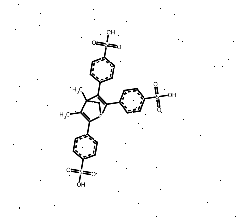 CC1=C(c2ccc(S(=O)(=O)O)cc2)P2CC1(C)C(c1ccc(S(=O)(=O)O)cc1)=C2c1ccc(S(=O)(=O)O)cc1